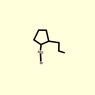 CCCC1CCC[CH]1[Mg][Br]